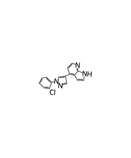 Clc1ccccc1-n1cc(-c2ccnc3[nH]ccc23)cn1